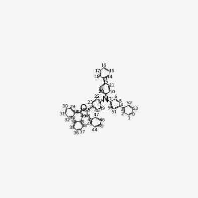 c1ccc(-c2ccc(N(c3ccc(-c4ccccc4)cc3)c3ccc(-c4oc5c6ccccc6c6ccccc6c5c4-c4ccccc4)cc3)cc2)cc1